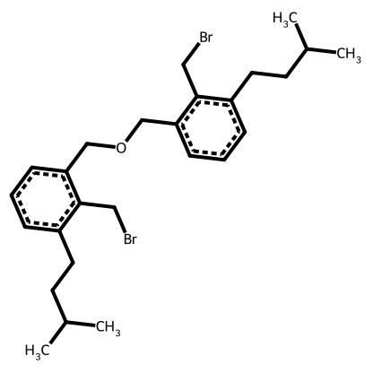 CC(C)CCc1cccc(COCc2cccc(CCC(C)C)c2CBr)c1CBr